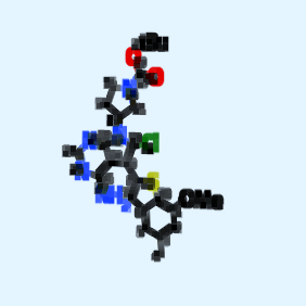 COc1cc(C)cc2cc(-c3c(Cl)n(C4CCN(C(=O)OC(C)(C)C)C4)c4ncnc(N)c34)sc12